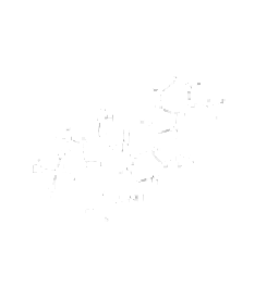 CCS(=O)(=O)C[C@H]1CC(Nc2nc(NC3CCC3)nc(C)c2-c2nc3c(C4CC4)nccc3s2)[C@H](O)[C@@H]1O